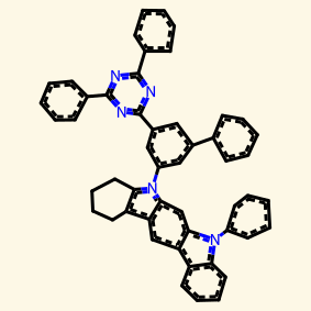 c1ccc(-c2cc(-c3nc(-c4ccccc4)nc(-c4ccccc4)n3)cc(-n3c4c(c5cc6c7ccccc7n(-c7ccccc7)c6cc53)CCCC4)c2)cc1